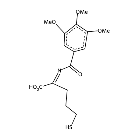 COc1cc(C(=O)N=C(CCCS)C(=O)O)cc(OC)c1OC